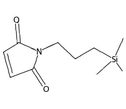 C[Si](C)(C)CCCN1C(=O)C=CC1=O